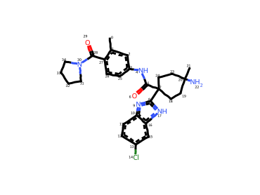 Cc1cc(NC(=O)C2(c3nc4ccc(Cl)cc4[nH]3)CCC(C)(N)CC2)ccc1C(=O)N1CCCC1